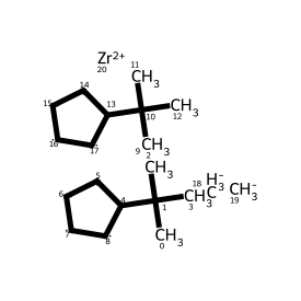 CC(C)(C)[C]1[CH][CH][CH][CH]1.CC(C)(C)[C]1[CH][CH][CH][CH]1.[CH3-].[CH3-].[Zr+2]